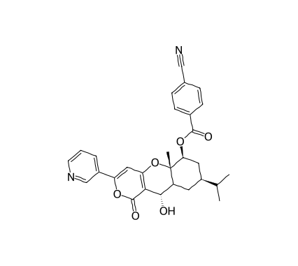 CC(C)[C@H]1CC2[C@H](O)c3c(cc(-c4cccnc4)oc3=O)O[C@]2(C)[C@@H](OC(=O)c2ccc(C#N)cc2)C1